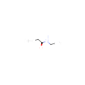 CCCCNC(=O)C[C]=O